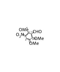 COc1cc([N+](=O)[O-])c(OC)c(C=O)c1OC